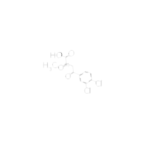 CO[C@H](CC(=O)c1ccc(Cl)c(Cl)c1)C(=O)O